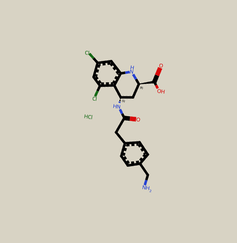 Cl.NCc1ccc(CC(=O)N[C@H]2C[C@H](C(=O)O)Nc3cc(Cl)cc(Cl)c32)cc1